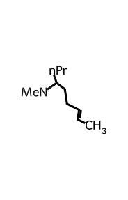 C/C=C/CCC(CCC)NC